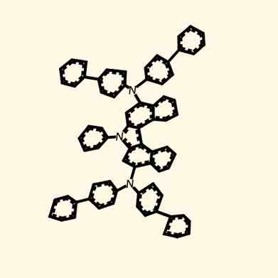 c1ccc(-c2ccc(N(c3ccc(-c4ccccc4)cc3)c3cc4c(c5ccccc35)c3c5ccccc5c(N(c5ccc(-c6ccccc6)cc5)c5ccc(-c6ccccc6)cc5)cc3n4-c3ccccc3)cc2)cc1